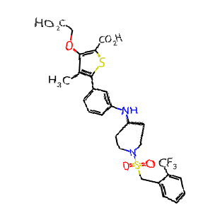 Cc1c(-c2cccc(NC3CCN(S(=O)(=O)Cc4ccccc4C(F)(F)F)CC3)c2)sc(C(=O)O)c1OCC(=O)O